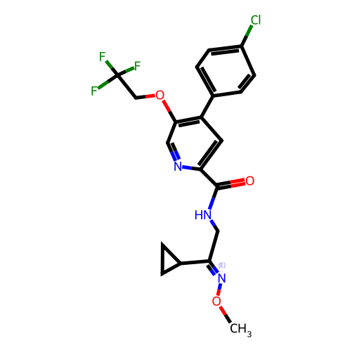 CO/N=C(/CNC(=O)c1cc(-c2ccc(Cl)cc2)c(OCC(F)(F)F)cn1)C1CC1